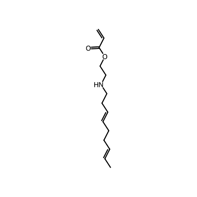 C=CC(=O)OCCNCCC=CCCC=CC